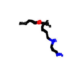 COCCO[SiH](C)CCCNCCN